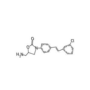 NCC1CN(c2ccc(C=Cc3cccc(Cl)c3)cc2)C(=O)O1